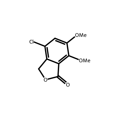 COc1cc(Cl)c2c(c1OC)C(=O)OC2